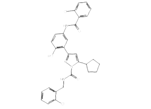 O=C(Nc1ccc(O)c(-c2cc(C3CCCC3)n(C(=O)NCc3ccccc3Cl)n2)c1)c1ccccc1Cl